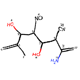 C=C(C)C(O)C(N=O)C(O)C(C#N)C(=C)N